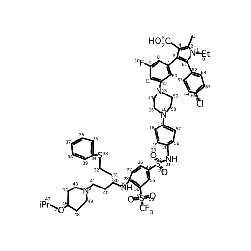 CCn1c(C)c(C(=O)O)c(-c2cc(F)cc(N3CCN(c4ccc(NS(=O)(=O)c5ccc(N[C@@H](CCSc6ccccc6)CCN6CCC(OC(C)C)CC6)c(S(=O)(=O)C(F)(F)F)c5)cc4)CC3)c2)c1-c1ccc(Cl)cc1